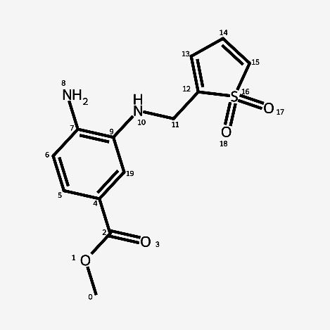 COC(=O)c1ccc(N)c(NCC2=CC=CS2(=O)=O)c1